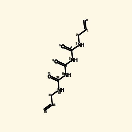 C=CCNC(=O)NC(=O)NC(=O)NCC=C